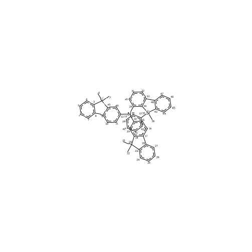 CC1(C)c2ccccc2-c2ccc(N(c3ccc4c(c3)C(C)(C)c3ccccc3-4)c3cccc4c3[Si](C)(c3ccccc3)c3ccccc3-4)cc21